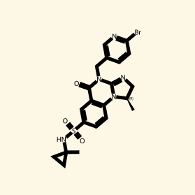 C[C@@H]1CN=C2N(Cc3ccc(Br)nc3)C(=O)c3cc(S(=O)(=O)NC4(C)CC4)ccc3N21